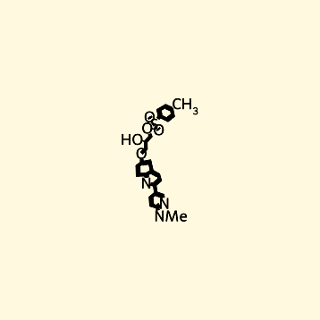 CNc1ccc(-c2ccc3cc(OC[C@H](O)COS(=O)(=O)c4ccc(C)cc4)ccc3n2)cn1